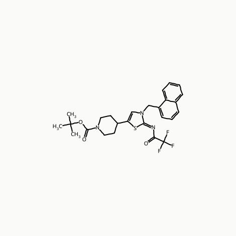 CC(C)(C)OC(=O)N1CCC(c2cn(Cc3cccc4ccccc34)c(=NC(=O)C(F)(F)F)s2)CC1